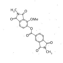 COc1c(OC(=O)c2ccc3c(c2)C(=O)N(C)C3=O)ccc2c1C(=O)N(C)C2=O